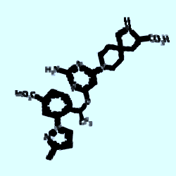 CCOC(=O)c1ccc([C@@H](Oc2cc(N3CCC4(CC3)CNC(C(=O)O)C4)nc(N)n2)C(F)(F)F)c(-n2ccc(C)n2)c1